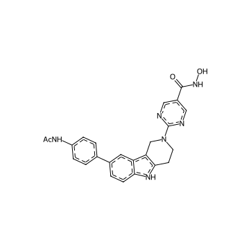 CC(=O)Nc1ccc(-c2ccc3[nH]c4c(c3c2)CN(c2ncc(C(=O)NO)cn2)CC4)cc1